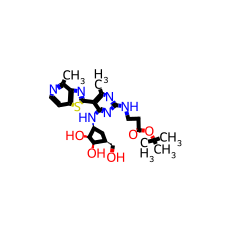 Cc1nc(NCCC(=O)OC(C)(C)C)nc(N[C@@H]2C[C@H](CO)[C@@H](O)[C@H]2O)c1-c1nc2c(C)nccc2s1